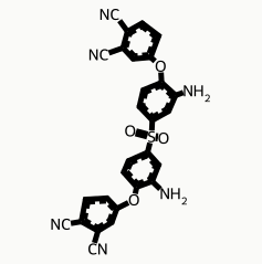 N#Cc1ccc(Oc2ccc(S(=O)(=O)c3ccc(Oc4ccc(C#N)c(C#N)c4)c(N)c3)cc2N)cc1C#N